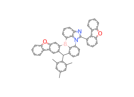 Cc1cc(C)c(C2c3cc4c(cc3B3c5c2cccc5-n2c(-c5cccc6oc7ccccc7c56)nc5cccc3c52)oc2ccccc24)c(C)c1